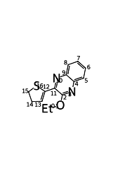 CCOc1nc2ccccc2nc1C1=CCCS1